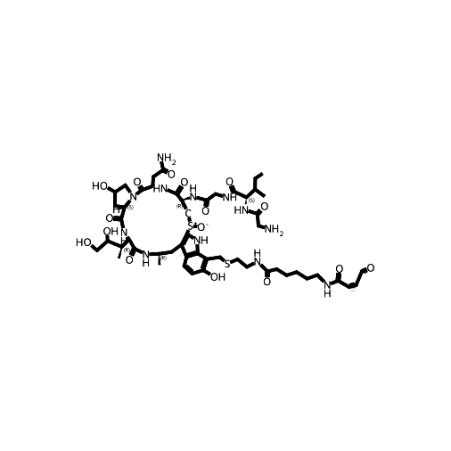 CCC(C)[C@H](NC(=O)CN)C(=O)NCC(=O)N[C@H]1C[S+]([O-])c2[nH]c3c(CSCCNC(=O)CCCCCNC(=O)/C=C\C=O)c(O)ccc3c2C[C@@H](C)NC(=O)C([C@@H](C)C(O)CO)NC(=O)[C@@H]2CC(O)CN2C(=O)C(CC(N)=O)NC1=O